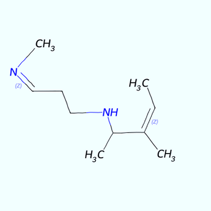 C/C=C(/C)C(C)NCC/C=N\C